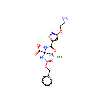 CC(NC(=O)OCc1ccccc1)(NC(=O)c1cc(OCCN)no1)C(=O)O.Cl